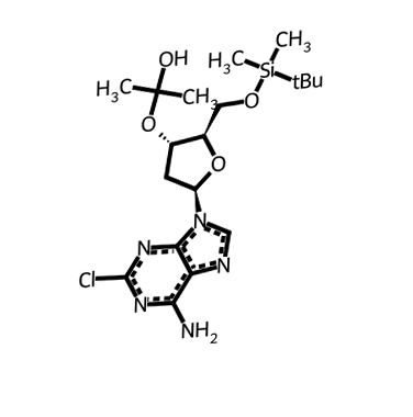 CC(C)(O)O[C@H]1C[C@H](n2cnc3c(N)nc(Cl)nc32)O[C@@H]1CO[Si](C)(C)C(C)(C)C